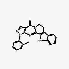 Cc1ccccc1-n1ncc2c(=O)n3c(nc21)-c1[nH]c2ccccc2c1CC3